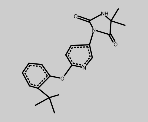 CC1(C)NC(=O)N(c2ccc(Oc3ccccc3C(C)(C)C)nc2)C1=O